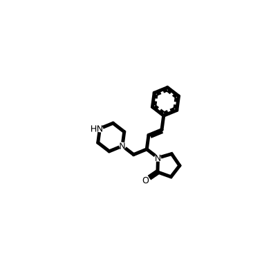 O=C1CCCN1C(/C=C/c1ccccc1)CN1CCNCC1